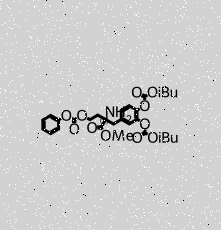 COC(=O)[C@@](N)(CCOC(=O)Oc1ccccc1)Cc1ccc(OC(=O)OCC(C)C)c(OC(=O)OCC(C)C)c1